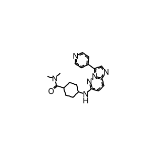 CN(C)C(=O)C1CCC(Nc2ccc3ncc(-c4ccncc4)n3n2)CC1